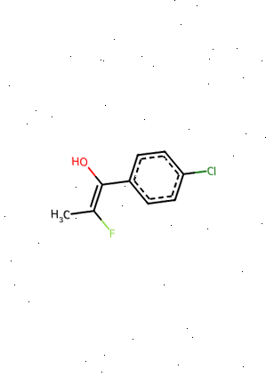 C/C(F)=C(\O)c1ccc(Cl)cc1